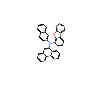 c1ccc2cc(N(c3cc4ccccc4c4ccccc34)c3cccc4c3oc3ccccc34)ccc2c1